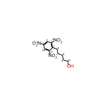 O=[N+]([O-])c1cc([N+](=O)[O-])c(CCCCCO)c([N+](=O)[O-])c1